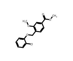 COC(=O)c1ccc(COc2ccccc2Cl)c(OC)c1